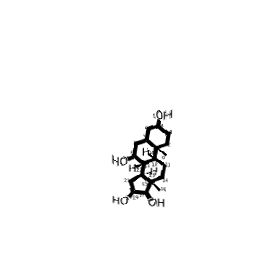 C[C@]12CCC(O)CC1CC(O)[C@@H]1[C@H]2CC[C@]2(C)C(O)C(O)C[C@@H]12